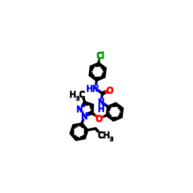 CCc1ccccc1-n1nc(C)cc1Oc1ccccc1NC(=O)Nc1ccc(Cl)cc1